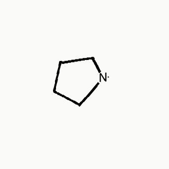 C1CC[N]C1